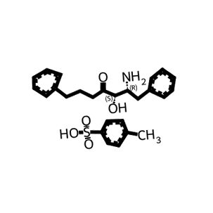 Cc1ccc(S(=O)(=O)O)cc1.N[C@H](Cc1ccccc1)[C@H](O)C(=O)CCCc1ccccc1